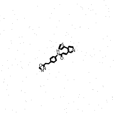 O=C(C=Cc1cnccc1-c1cccs1)Nc1ccc(CCc2nnco2)cc1